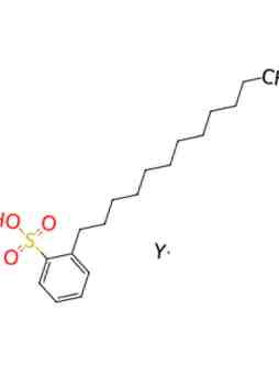 CCCCCCCCCCCCc1ccccc1S(=O)(=O)O.[Y]